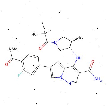 CC[C@@H]1CN(C(=O)C(C)(C)C#N)C[C@H]1Nc1c(C(N)=O)cnn2cc(-c3ccc(C(=O)NC)c(F)c3)cc12